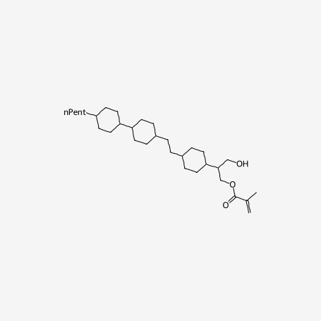 C=C(C)C(=O)OCC(CO)C1CCC(CCC2CCC(C3CCC(CCCCC)CC3)CC2)CC1